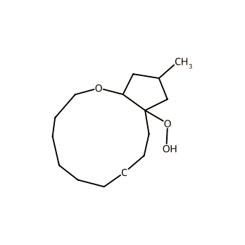 CC1CC2OCCCCCCCCCC2(OO)C1